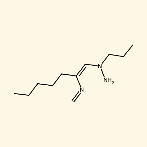 C=N/C(=C\N(N)CCC)CCCCC